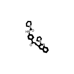 O=C(C=Cc1cc2ccccc2nc1N1CCCC1)c1ccc(NC(=O)N2CCCCC2)cc1